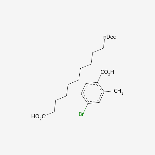 CCCCCCCCCCCCCCCCCCCC(=O)O.Cc1cc(Br)ccc1C(=O)O